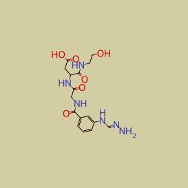 NN=CNc1cccc(C(=O)NCC(=O)NC(CC(=O)O)C(=O)NCCO)c1